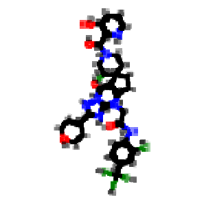 O=C(Cn1c2c(c(=O)n3nc(C4=CCOCC4)nc13)C1(CC2)CCN(C(=O)c2ncccc2O)CC1F)Nc1ccc(C(F)(F)F)cc1Cl